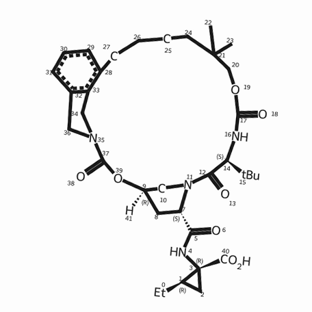 CC[C@@H]1C[C@]1(NC(=O)[C@@H]1C[C@@H]2CN1C(=O)[C@H](C(C)(C)C)NC(=O)OCC(C)(C)CCCCc1cccc3c1CN(C3)C(=O)O2)C(=O)O